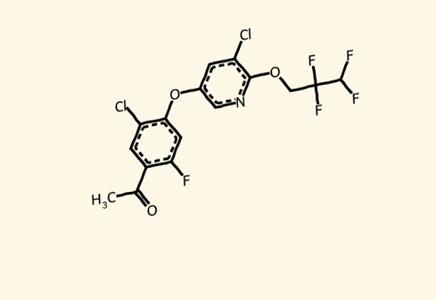 CC(=O)c1cc(Cl)c(Oc2cnc(OCC(F)(F)C(F)F)c(Cl)c2)cc1F